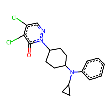 O=c1c(Cl)c(Cl)cnn1C1CCC(N(c2ccccc2)C2CC2)CC1